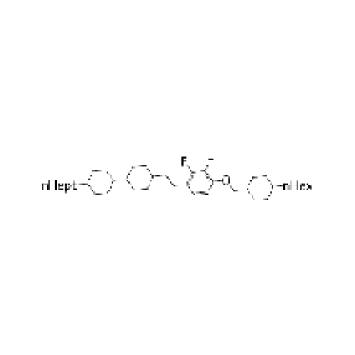 CCCCCCCC1CCC(C2CCC(CCc3ccc(OCC4CCC(CCCCCC)CC4)c(F)c3F)CC2)CC1